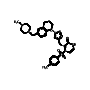 Cc1ccc(S(=O)(=O)N2C=CNC(=O)[C@H]2Cc2cn([C@H]3CCCc4cc(CN5CCN(C)CC5)ccc43)nn2)cc1